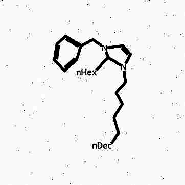 CCCCCCCCCCCCCCCN1C=CN(Cc2ccccc2)C1CCCCCC